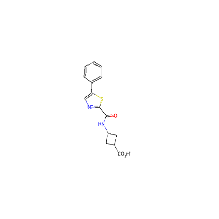 O=C(NC1CC(C(=O)O)C1)c1ncc(-c2ccccc2)s1